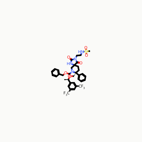 C[C@@H](OC[C@@]1(c2ccccc2)CCC2(CN1C(=O)OCc1ccccc1)NC(=O)N(CCNS(C)(=O)=O)C2=O)c1cc(C(F)(F)F)cc(C(F)(F)F)c1